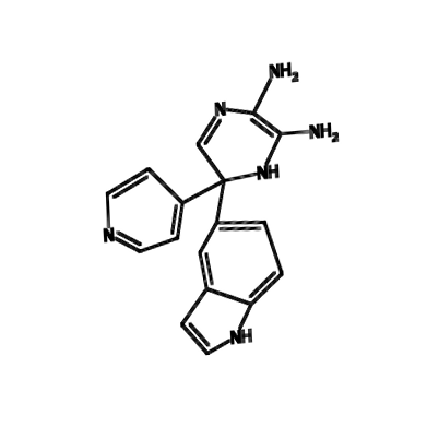 NC1=C(N)NC(c2ccncc2)(c2ccc3[nH]ccc3c2)C=N1